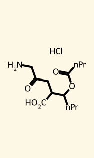 CCCC(=O)OC(CCC)C(CC(=O)CN)C(=O)O.Cl